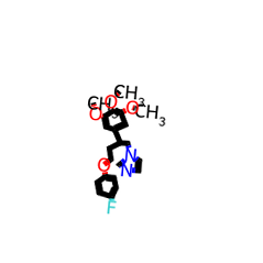 COc1cc(C(CCOc2ccc(F)cc2)Cn2ccnc2)cc(OC)c1OC